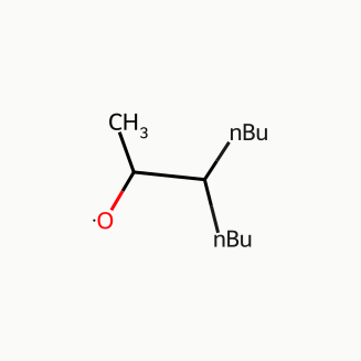 CCCCC(CCCC)C(C)[O]